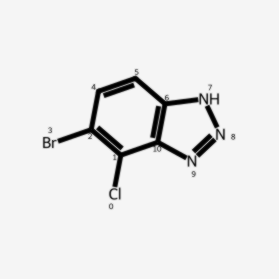 Clc1c(Br)ccc2[nH]nnc12